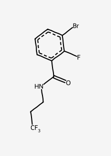 O=C(NCCC(F)(F)F)c1cccc(Br)c1F